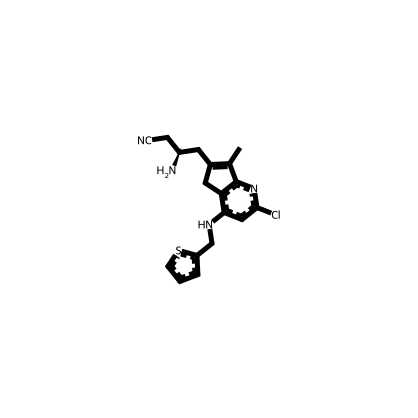 CC1=C(C[C@@H](N)CC#N)Cc2c(NCc3cccs3)cc(Cl)nc21